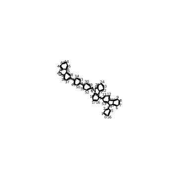 c1ccc(C2c3ccccc3-c3ccc(-c4cccc5c4c4ccccc4n5-c4ccc(-c5ccc(-c6ccc7sc8ccccc8c7c6)cc5)cc4)cc32)cc1